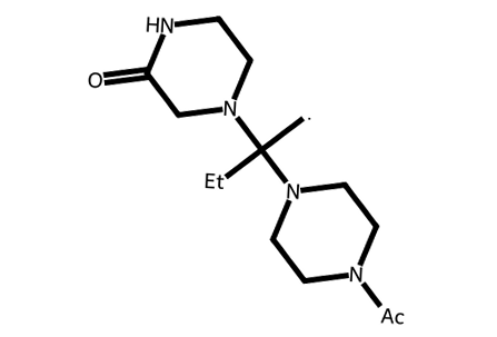 [CH2]C(CC)(N1CCN(C(C)=O)CC1)N1CCNC(=O)C1